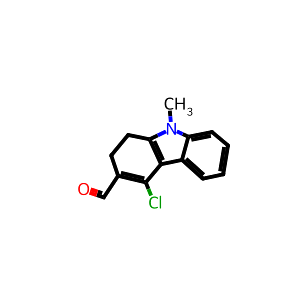 Cn1c2c(c3ccccc31)C(Cl)=C(C=O)CC2